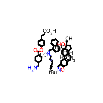 C#C[C@]1(O)CC[C@H]2[C@@H]3CCC4=Cc5oncc5C[C@]4(C)[C@H]3CC[C@@]21C.CN(C/C=C/C#CC(C)(C)C)Cc1cccc2ccccc12.NC[C@H]1CC[C@H](C(=O)Oc2ccc(CCC(=O)O)cc2)CC1